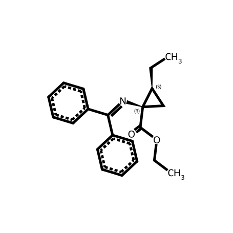 CCOC(=O)[C@@]1(N=C(c2ccccc2)c2ccccc2)C[C@@H]1CC